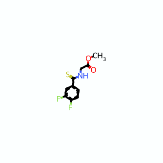 COC(=O)CNC(=S)c1ccc(F)c(F)c1